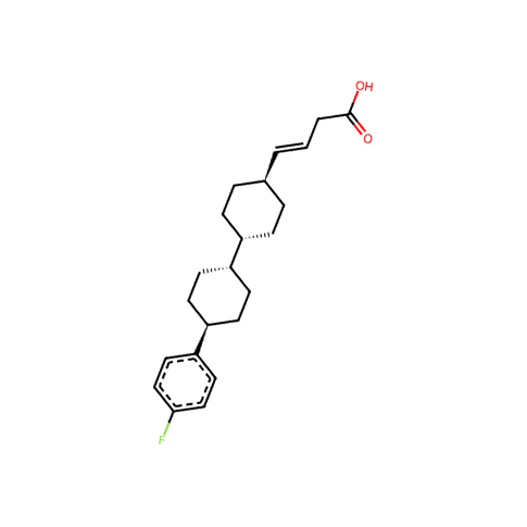 O=C(O)CC=C[C@H]1CC[C@H]([C@H]2CC[C@H](c3ccc(F)cc3)CC2)CC1